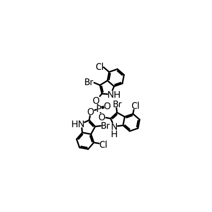 O=P(Oc1[nH]c2cccc(Cl)c2c1Br)(Oc1[nH]c2cccc(Cl)c2c1Br)Oc1[nH]c2cccc(Cl)c2c1Br